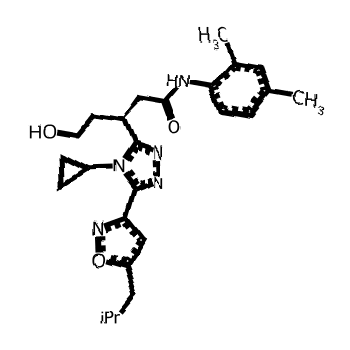 Cc1ccc(NC(=O)C[C@H](CCO)c2nnc(-c3cc(CC(C)C)on3)n2C2CC2)c(C)c1